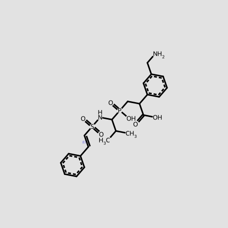 CC(C)C(NS(=O)(=O)/C=C/c1ccccc1)P(=O)(O)CC(C(=O)O)c1cccc(CN)c1